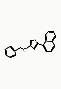 c1ccc(COc2csc(-c3cccc4ccccc34)c2)cc1